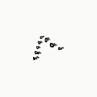 [Ga+3].[Ge+4].[In+3].[O-2].[O-2].[O-2].[O-2].[O-2]